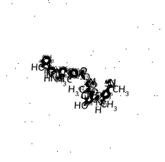 Cc1ncsc1-c1ccc([C@H](C)NC(=O)[C@@H]2C[C@@H](O)CN2C(=O)[C@@H](c2cc(OCC(=O)N3CC[C@@H](N4CCN5c6cc(-c7ccccc7O)nnc6NC[C@H]5C4)[C@H](C)C3)no2)C(C)C)cc1